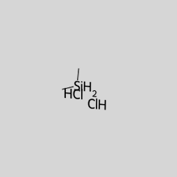 C[SiH2]C.Cl.Cl